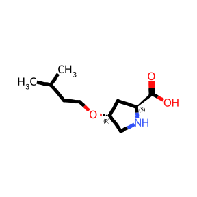 CC(C)CCO[C@H]1CN[C@H](C(=O)O)C1